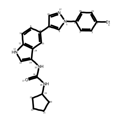 CCc1ccc(-n2cc(-c3ccc4[nH]cc(NC(=O)NC5CCCC5)c4c3)cn2)cc1